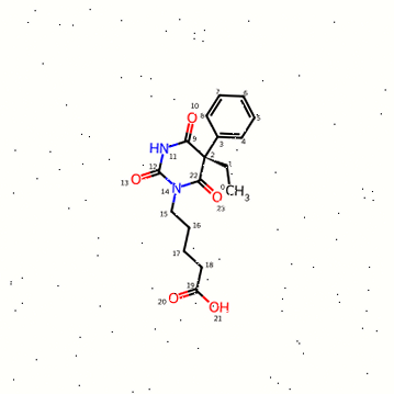 CC[C@]1(c2ccccc2)C(=O)NC(=O)N(CCCCC(=O)O)C1=O